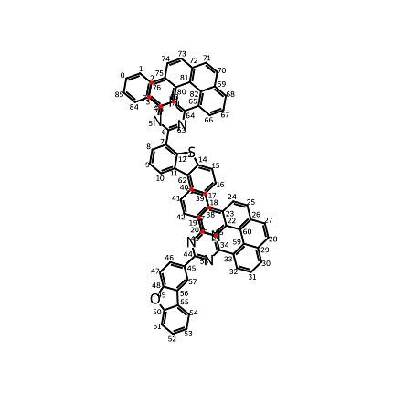 c1ccc(-c2nc(-c3cccc4c3sc3ccc(-c5cccc6c5ccc5ccc7cccc(-c8nc(-c9ccccc9)nc(-c9ccc%10oc%11ccccc%11c%10c9)n8)c7c56)cc34)nc(-c3cccc4ccc5ccc6ccccc6c5c34)n2)cc1